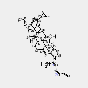 C=C/C=C\C=C(/N)n1ncc2c1C=C1CCC3[C@H]([C@@H](O)CC4(C)[C@H]3CCC4(OC(=O)C3CC3)C(=O)SCF)C1(C)C2